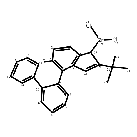 Cc1ccc2c(c1-c1ccccc1-c1ccccc1)C=C(C(C)(C)C)[CH]2[Zr]([Cl])[Cl]